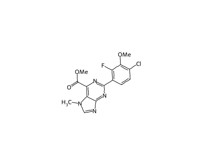 COC(=O)c1nc(-c2ccc(Cl)c(OC)c2F)nc2ncn(C)c12